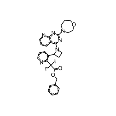 O=C(OCc1ccccc1)C(F)(I)c1ncccc1C1CCN1c1nc(N2CCCOCC2)nc2ncccc12